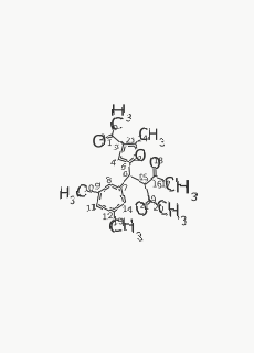 CC(=O)c1cc(C(c2cc(C)cc(C)c2)C(C(C)=O)C(C)=O)oc1C